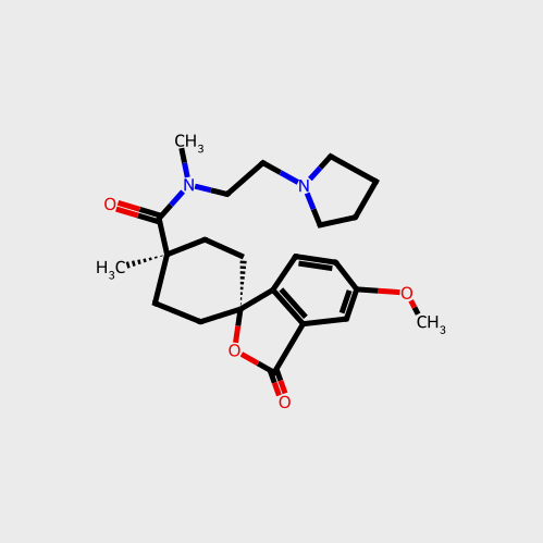 COc1ccc2c(c1)C(=O)O[C@]21CC[C@](C)(C(=O)N(C)CCN2CCCC2)CC1